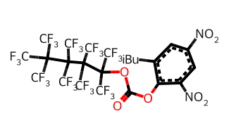 CCC(C)c1cc([N+](=O)[O-])cc([N+](=O)[O-])c1OC(=O)OC(C(F)(F)F)(C(F)(F)F)C(C(F)(F)F)(C(F)(F)F)C(C(F)(F)F)(C(F)(F)F)C(C(F)(F)F)(C(F)(F)F)C(F)(F)F